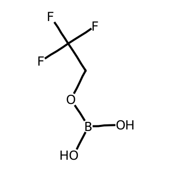 OB(O)OCC(F)(F)F